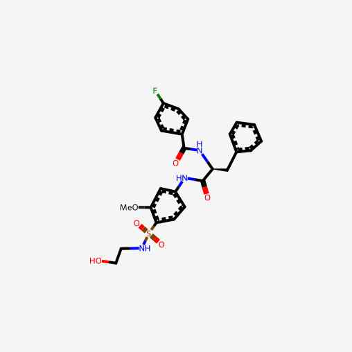 COc1cc(NC(=O)[C@H](Cc2ccccc2)NC(=O)c2ccc(F)cc2)ccc1S(=O)(=O)NCCO